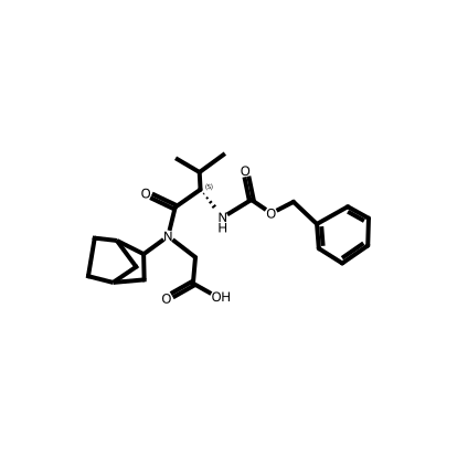 CC(C)[C@H](NC(=O)OCc1ccccc1)C(=O)N(CC(=O)O)C1CC2CCC1C2